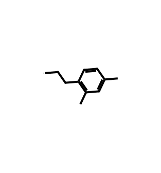 [CH2]CCc1ccc(C)cc1C